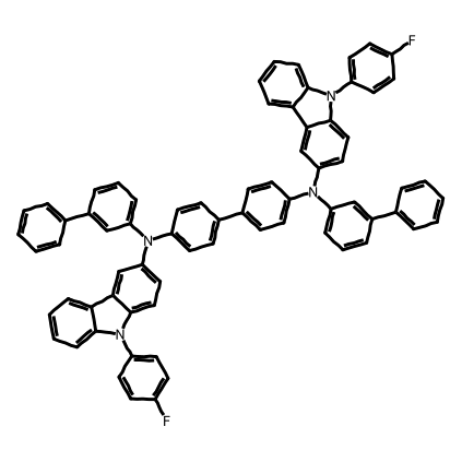 Fc1ccc(-n2c3ccccc3c3cc(N(c4ccc(-c5ccc(N(c6cccc(-c7ccccc7)c6)c6ccc7c(c6)c6ccccc6n7-c6ccc(F)cc6)cc5)cc4)c4cccc(-c5ccccc5)c4)ccc32)cc1